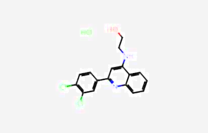 Cl.OCCNc1cc(-c2ccc(Cl)c(Cl)c2)nc2ccccc12